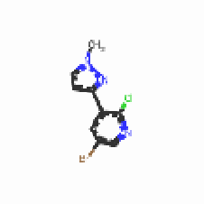 Cn1ccc(-c2cc(Br)cnc2Cl)n1